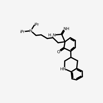 CC(C)N(CCCCCC1(C(=N)N)C=CC=C(C2CNc3ccccc3C2)C1=O)C(C)C